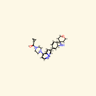 O=C(C1CC1)N1CCN(c2ccnn3cc(C4=CC5NC6(CCOCC6)C5C=C4)cc23)CC1